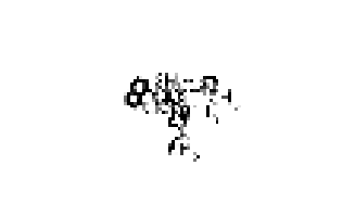 C=CC(=O)N1CCN(c2nc(OCC3CCCN3C)nc3c2OCC(c2cccc4cccc(Cl)c24)N3C)[C@@H](C)C1